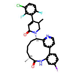 CC1CN([C@H]2CCC[C@@H](C)C(=O)Nc3cc(I)ccc3-c3ccnc2c3)C(=O)C=C1c1c(F)ccc(Cl)c1F